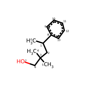 CC(CC(C)(C)CO)c1ccccc1